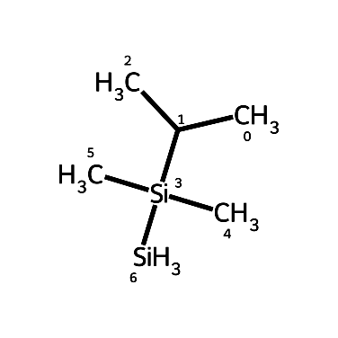 CC(C)[Si](C)(C)[SiH3]